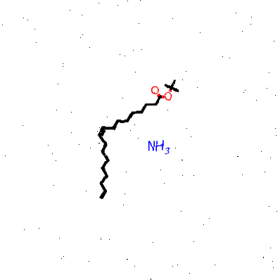 CCCCCCCC/C=C\CCCCCCCC(=O)OC(C)(C)C.N